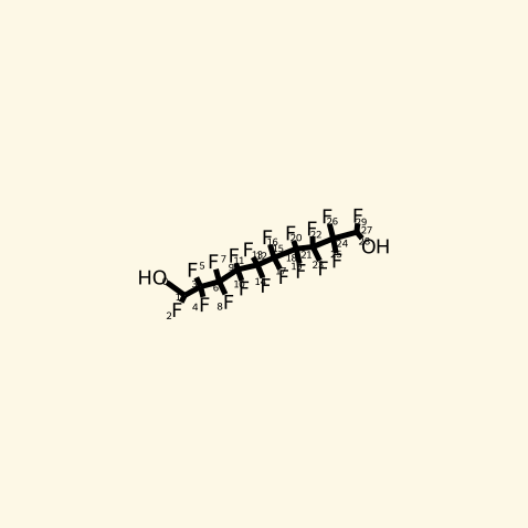 OC(F)C(F)(F)C(F)(F)C(F)(F)C(F)(F)C(F)(F)C(F)(F)C(F)(F)C(F)(F)C(O)F